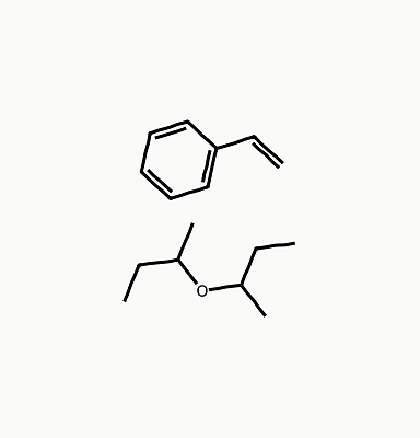 C=Cc1ccccc1.CCC(C)OC(C)CC